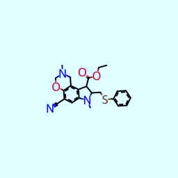 CCOC(=O)C1c2c(cc(C#N)c3c2CN(C)CO3)N(C)C1CSc1ccccc1